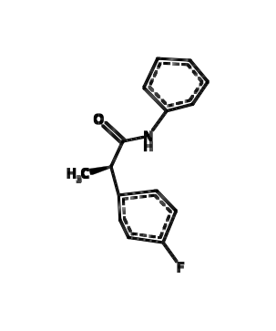 C[C@@H](C(=O)Nc1ccccc1)c1ccc(F)cc1